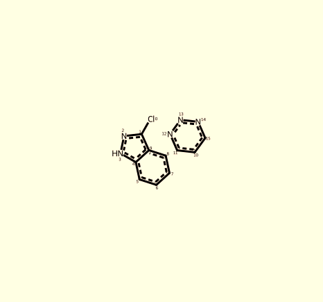 Clc1n[nH]c2ccccc12.c1cnnnc1